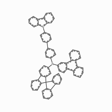 c1ccc2c(c1)-c1ccccc1C21c2ccccc2-c2ccc(N(c3ccc(-c4ccc(-n5c6ccccc6c6ccccc65)cc4)cc3)c3ccc4c5ccccc5c5ccccc5c4c3)cc21